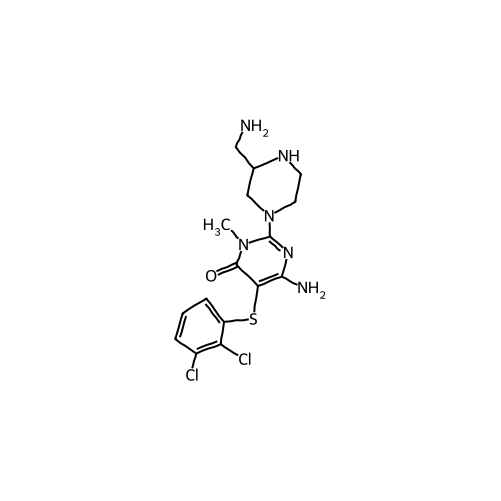 Cn1c(N2CCNC(CN)C2)nc(N)c(Sc2cccc(Cl)c2Cl)c1=O